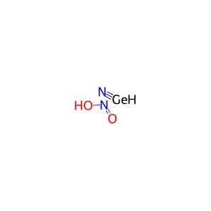 O=NO.[N]#[GeH]